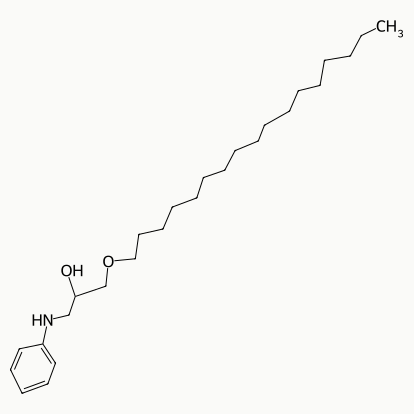 CCCCCCCCCCCCCCCCCOCC(O)CNc1ccccc1